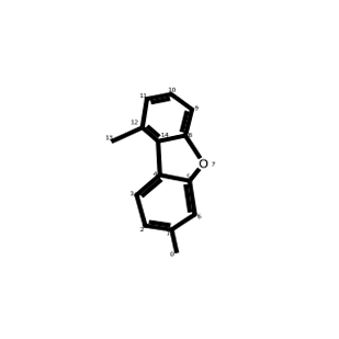 Cc1ccc2c(c1)oc1cccc(C)c12